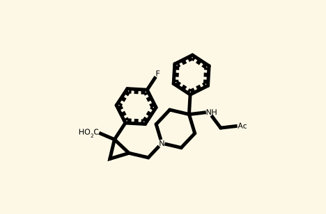 CC(=O)CNC1(c2ccccc2)CCN(CC2CC2(C(=O)O)c2ccc(F)cc2)CC1